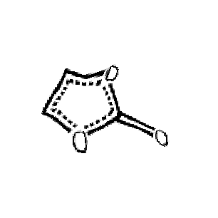 O=c1occo1